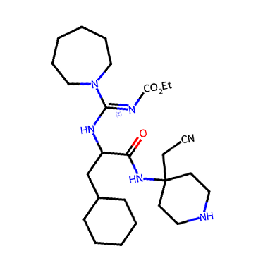 CCOC(=O)/N=C(/NC(CC1CCCCC1)C(=O)NC1(CC#N)CCNCC1)N1CCCCCC1